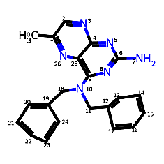 Cc1cnc2nc(N)nc(N(Cc3ccccc3)Cc3ccccc3)c2n1